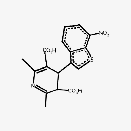 CC1=NC(C)=C(C(=O)O)C(c2csc3c([N+](=O)[O-])cccc23)C1C(=O)O